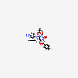 CC#CCN1c2c(n(C)c(=O)n(CC(=O)c3ccc(Cl)cc3)c2=O)N(OC(=O)C(F)(F)F)C1N1CCNCC1